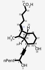 CCCCCC(O)C#C[C@H]1[C@@H]2C(C)/C(=C/CCCC(=O)O)[C@@H]2CC[C@@H]1O